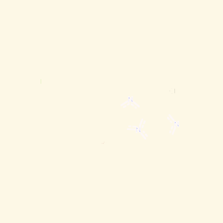 Cc1nccn2c(Br)c(-c3ccc(F)cc3)nc12